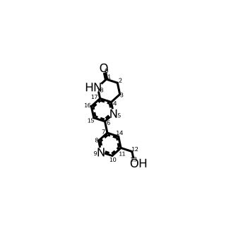 O=C1CCc2nc(-c3cncc(CO)c3)ccc2N1